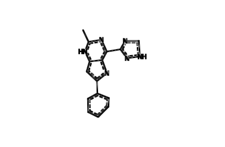 Cc1nc(-c2nc[nH]n2)c2nc(-c3ccccc3)cc-2[nH]1